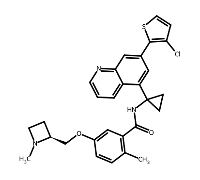 Cc1ccc(OC[C@@H]2CCN2C)cc1C(=O)NC1(c2cc(-c3sccc3Cl)cc3ncccc23)CC1